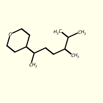 CC(C)C(C)CCC(C)C1CCOCC1